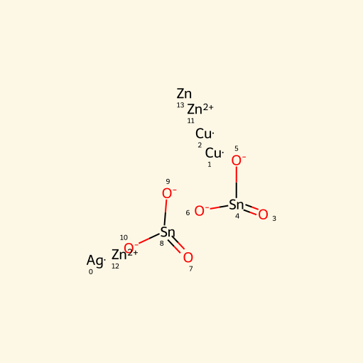 [Ag].[Cu].[Cu].[O]=[Sn]([O-])[O-].[O]=[Sn]([O-])[O-].[Zn+2].[Zn+2].[Zn]